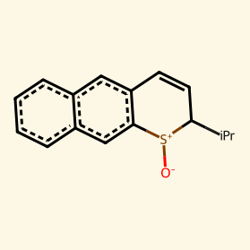 CC(C)C1C=Cc2cc3ccccc3cc2[S+]1[O-]